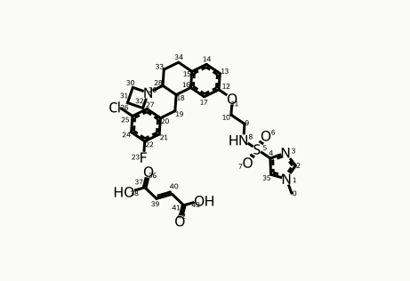 Cn1cnc(S(=O)(=O)NCCOc2ccc3c(c2)C(Cc2cc(F)cc(Cl)c2)C(N2CCC2)CC3)c1.O=C(O)C=CC(=O)O